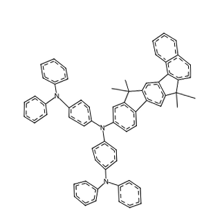 CC1(C)c2cc(N(c3ccc(N(c4ccccc4)c4ccccc4)cc3)c3ccc(N(c4ccccc4)c4ccccc4)cc3)ccc2-c2cc3c(cc21)-c1c(ccc2ccccc12)C3(C)C